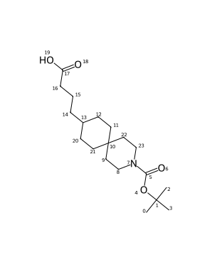 CC(C)(C)OC(=O)N1CCC2(CCC(CCCC(=O)O)CC2)CC1